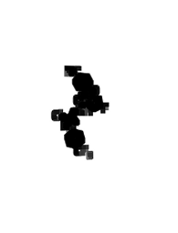 N#Cc1ccc(S(=O)(=O)N2C[C@H](F)C[C@H]2C(=O)NCc2cn(-c3ccc(C(F)(F)F)cc3)nc2Cl)cc1